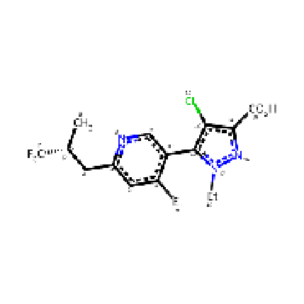 CCc1cc(C[C@@H](C)C(F)(F)F)ncc1-c1c(Cl)c(C(=O)O)nn1CC